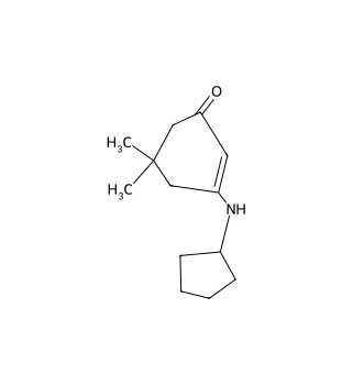 CC1(C)CC(=O)C=C(NC2CCCC2)C1